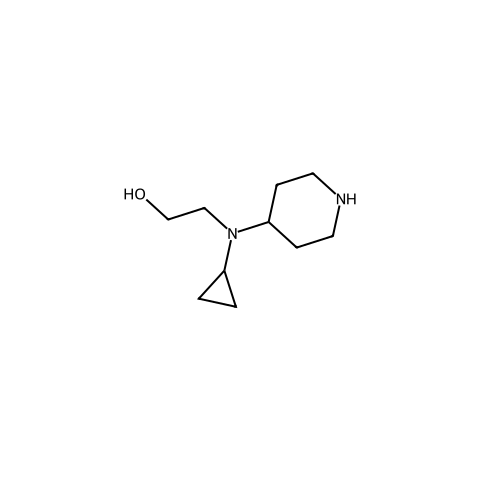 OCCN(C1CCNCC1)C1CC1